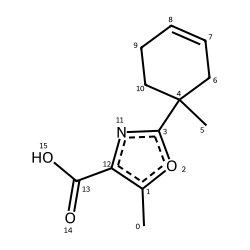 Cc1oc(C2(C)CC=CCC2)nc1C(=O)O